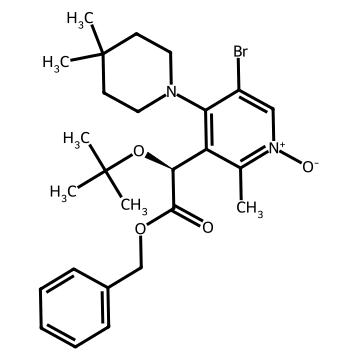 Cc1c([C@H](OC(C)(C)C)C(=O)OCc2ccccc2)c(N2CCC(C)(C)CC2)c(Br)c[n+]1[O-]